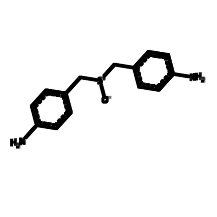 Nc1ccc(C[S+]([O-])Cc2ccc(N)cc2)cc1